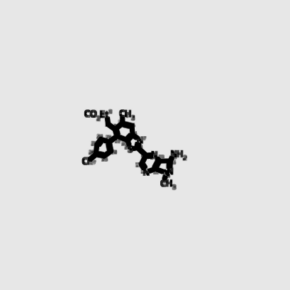 CCOC(=O)Cc1c(C)cc2nc(-c3cnc4c(n3)c(N)nn4C)sc2c1-c1ccc(Cl)cc1